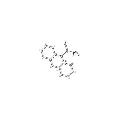 NC(=S)c1c2ccccc2cc2ccccc12